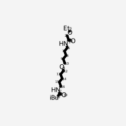 CCOCC(=O)NCCCCCOCCCCCNC(=O)C(C)CC